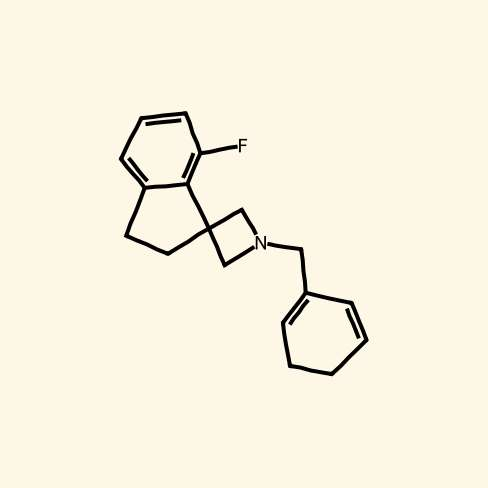 Fc1cccc2c1C1(CC2)CN(CC2=CCCC=C2)C1